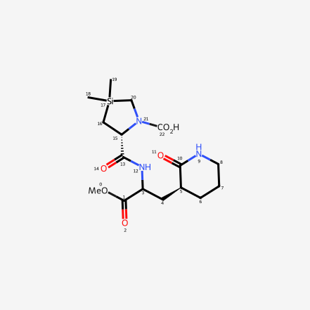 COC(=O)C(C[C@@H]1CCCNC1=O)NC(=O)[C@@H]1C[Si](C)(C)CN1C(=O)O